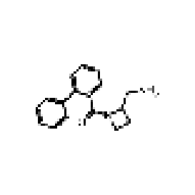 NCC1CCN1C(=O)c1ccccc1-c1ccccc1